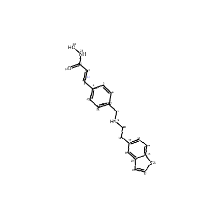 O=C(/C=C/c1ccc(CNCCc2ccc3sccc3c2)cc1)NO